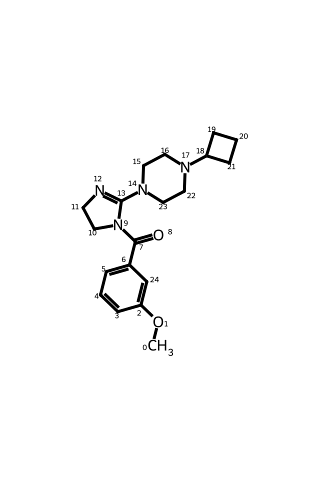 COc1cccc(C(=O)N2CCN=C2N2CCN(C3CCC3)CC2)c1